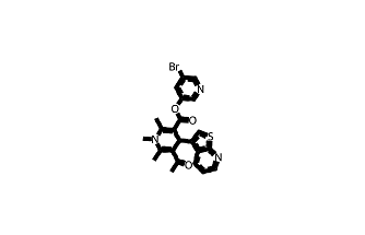 CC(=O)C1=C(C)N(C)C(C)=C(C(=O)Oc2cncc(Br)c2)C1c1csc2ncccc12